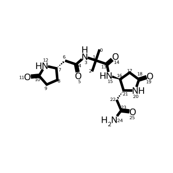 CC(C)(NC(=O)C[C@@H]1CCC(=O)N1)C(=O)N[C@H]1CC(=O)N[C@@H]1CC(N)=O